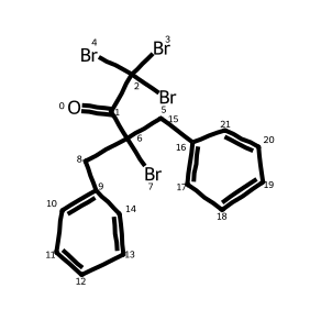 O=C(C(Br)(Br)Br)C(Br)(Cc1ccccc1)Cc1ccccc1